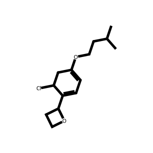 CC(C)CCOC1=CC=C(C2CCO2)C(Cl)C1